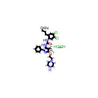 COCCCc1cc(Cl)c(Cl)cc1NC(=O)Nc1c(C)c(OCCN2CCNCC2)nn1-c1ccccc1.Cl.Cl